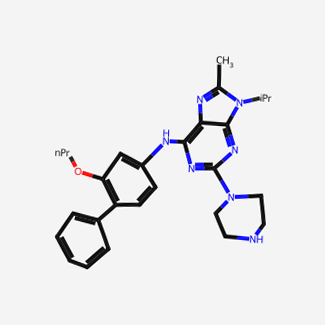 CCCOc1cc(Nc2nc(N3CCNCC3)nc3c2nc(C)n3C(C)C)ccc1-c1ccccc1